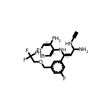 C#CNC(N)/C=C(\NC(=C/CC)/C(P)=C\CC)c1cc(F)cc(COCC(F)(F)P)c1